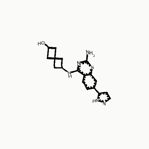 Nc1nc(NC2CC3(CC(O)C3)C2)c2ccc(-c3ccn[nH]3)cc2n1